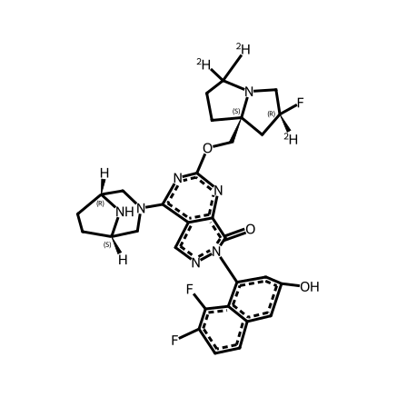 [2H]C1([2H])CC[C@@]2(COc3nc(N4C[C@H]5CC[C@@H](C4)N5)c4cnn(-c5cc(O)cc6ccc(F)c(F)c56)c(=O)c4n3)C[C@@]([2H])(F)CN12